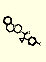 O=C(N1CCN2c3ccccc3CCC2C1)C1(c2ccc(Cl)cc2)CC1